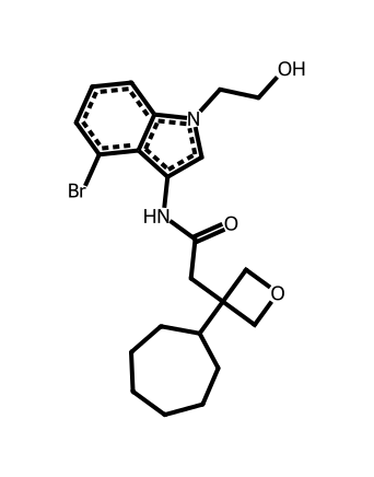 O=C(CC1(C2CCCCCC2)COC1)Nc1cn(CCO)c2cccc(Br)c12